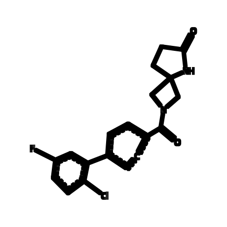 O=C1CCC2(CN(C(=O)c3ccc(-c4cc(F)ccc4Cl)cc3)C2)N1